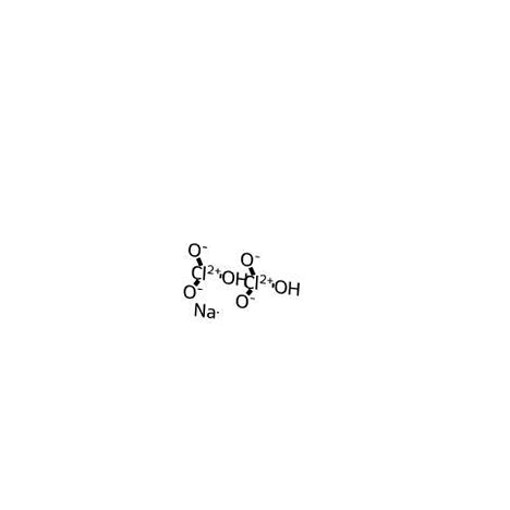 [Na].[O-][Cl+2]([O-])O.[O-][Cl+2]([O-])O